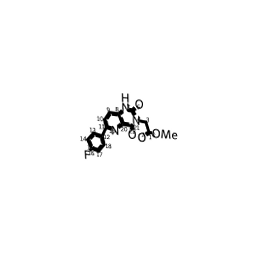 COC(=O)Cn1c(=O)[nH]c2ccc(-c3ccc(F)cc3)nc2c1=O